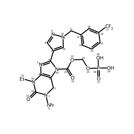 CCCN1Cc2c(nc(-c3cnn(Cc4cccc(C(F)(F)F)c4)c3)n2C(=O)OCOP(=O)(O)O)N(CC)C1=O